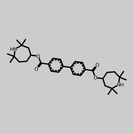 CC1(C)CCC(OC(=O)c2ccc(-c3ccc(C(=O)OC4CCC(C)(C)NC(C)(C)C4)cc3)cc2)CC(C)(C)N1